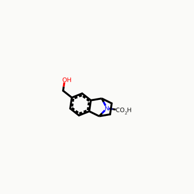 O=C(O)N1C2CCC1c1cc(CO)ccc12